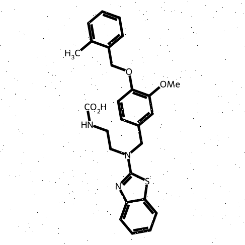 COc1cc(CN(CCNC(=O)O)c2nc3ccccc3s2)ccc1OCc1ccccc1C